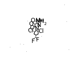 COC(=O)c1c(N)ncn(-c2c(Cl)cc([C@@H](F)CF)cc2Cl)c1=O